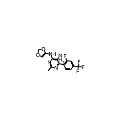 Cc1nc(NC2=COCO2)c(N)c(-c2ccc(C(F)(F)F)cc2F)n1